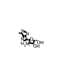 Cc1ncnn2c([C@@H]3O[C@H](CO)[C@@H](O)[C@@]3(C)N)cnc12